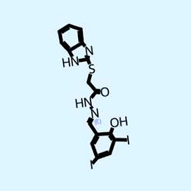 O=C(CSc1nc2ccccc2[nH]1)N/N=C/c1cc(I)cc(I)c1O